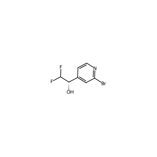 O[C@@H](c1ccnc(Br)c1)C(F)F